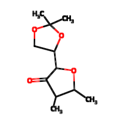 CC1OC(C2COC(C)(C)O2)C(=O)C1C